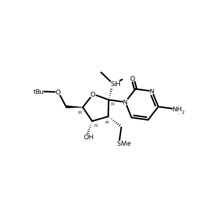 CSC[C@@H]1[C@H](O)[C@@H](COC(C)(C)C)O[C@]1(n1ccc(N)nc1=O)[SiH](C)C